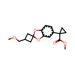 COCC1CC2(C1)Oc1ccc(C3(C(=O)OC)CC3)cc1O2